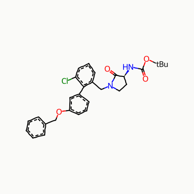 CC(C)(C)OC(=O)N[C@H]1CCN(Cc2cccc(Cl)c2-c2cccc(OCc3ccccc3)c2)C1=O